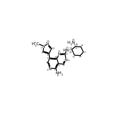 Cn1cc(-c2cnc(N)c3cnc(N[C@H]4CCCC[C@H]4N)nc23)cn1